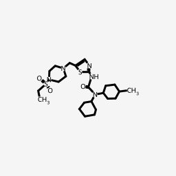 CCS(=O)(=O)N1CCN(Cc2cnc(NC(=O)N(C3CCCCC3)C3CCC(C)CC3)s2)CC1